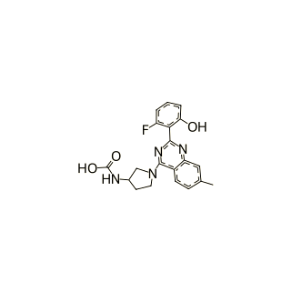 Cc1ccc2c(N3CCC(NC(=O)O)C3)nc(-c3c(O)cccc3F)nc2c1